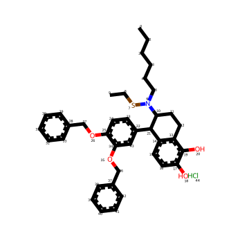 CCCCCCN(SCC)C1CCc2c(ccc(O)c2O)C1c1ccc(OCc2ccccc2)c(OCc2ccccc2)c1.Cl